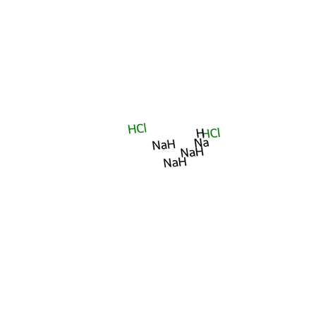 Cl.Cl.[NaH].[NaH].[NaH].[NaH]